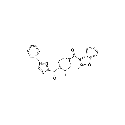 Cc1oc2ccccc2c1C(=O)N1CCN(C(=O)c2ncn(-c3ccccc3)n2)C(C)C1